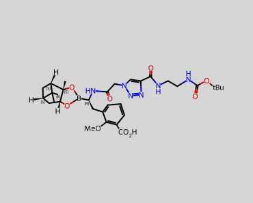 COc1c(C[C@H](NC(=O)Cn2cc(C(=O)NCCNC(=O)OC(C)(C)C)nn2)B2O[C@@H]3C[C@@H]4C[C@@H](C4(C)C)[C@]3(C)O2)cccc1C(=O)O